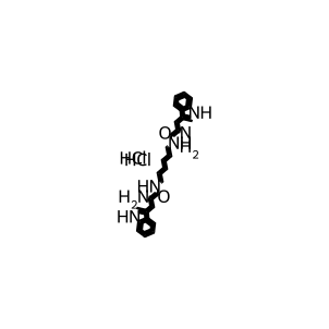 Cl.Cl.NC(Cc1c[nH]c2ccccc12)C(=O)NCCCCCCNC(=O)C(N)Cc1c[nH]c2ccccc12